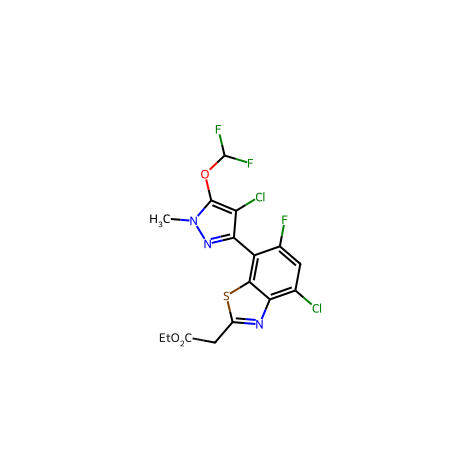 CCOC(=O)Cc1nc2c(Cl)cc(F)c(-c3nn(C)c(OC(F)F)c3Cl)c2s1